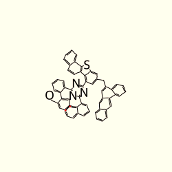 c1ccc2c(c1)COc1cccc(-c3nc(-c4cccc5ccccc45)nc(-c4cc(Cc5cc6cc7ccccc7cc6c6ccccc56)cc5sc6c7ccccc7ccc6c45)n3)c1-2